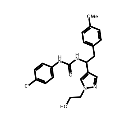 COc1ccc(CC(NC(=O)Nc2ccc(Cl)cc2)c2cnn(CCO)c2)cc1